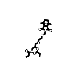 CCC(=O)OCC(COCCOCN1C(=O)C2C(C1=O)C1(C)C=CC2(C)O1)OC(=O)CC